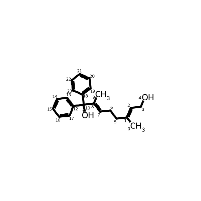 CC(=CCO)CCC=C(C)C(O)(c1ccccc1)c1ccccc1